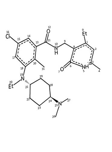 CCc1cc(C)[nH]c(=O)c1CNC(=O)c1cc(Cl)cc(N(CC)[C@H]2CC[C@H](N(C)C)CC2)c1C